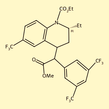 CCOC(=O)N1c2ccc(C(F)(F)F)cc2C(C(C(=O)OC)c2cc(C(F)(F)F)cc(C(F)(F)F)c2)C[C@H]1CC